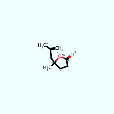 C=C(C)CC1(C)CCC(=O)O1